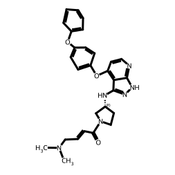 CN(C)CC=CC(=O)N1CC[C@@H](Nc2n[nH]c3nccc(Oc4ccc(Oc5ccccc5)cc4)c23)C1